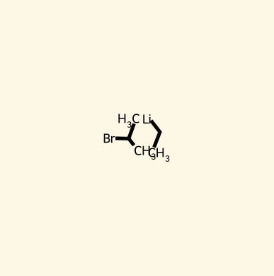 CC(C)Br.[Li][CH2]C